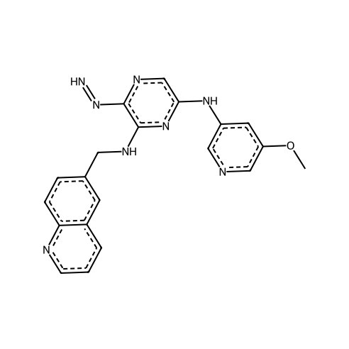 COc1cncc(Nc2cnc(N=N)c(NCc3ccc4ncccc4c3)n2)c1